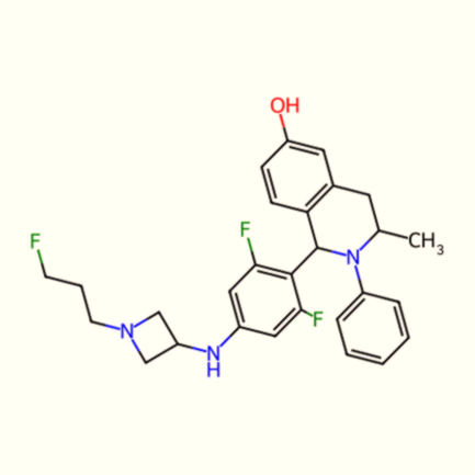 CC1Cc2cc(O)ccc2C(c2c(F)cc(NC3CN(CCCF)C3)cc2F)N1c1ccccc1